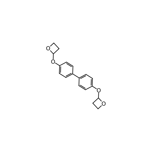 c1cc(-c2ccc(OC3CCO3)cc2)ccc1OC1CCO1